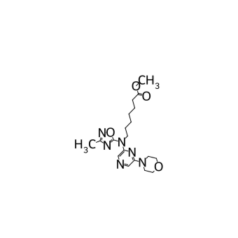 COC(=O)CCCCCCN(c1cncc(N2CCOCC2)n1)c1nc(C)no1